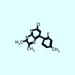 Cc1ccc(-c2cc(Cl)nc3nc(C)c(C)nc23)c(F)c1